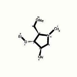 CCO[C@H]1[C@H](O)CN(C)[C@@H]1COC